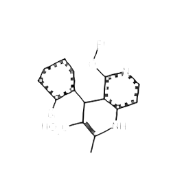 CCOc1nccc2c1C(c1ccccc1Br)C(C(=O)O)=C(C)N2